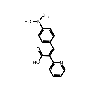 CN(C)c1ccc(C=C(C(=O)O)c2ccccn2)cc1